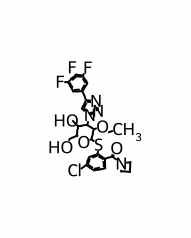 CCOC1C(Sc2cc(Cl)ccc2C(=O)N2CCC2)OC(CO)C(O)C1n1cc(-c2cc(F)c(F)c(F)c2)nn1